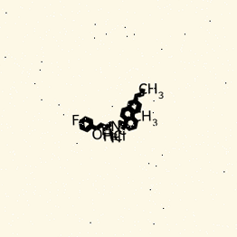 CCCc1ccc2c(c1)CCC1C(C)(CNCCCC(O)c3ccc(F)cc3)CCCC21C.Cl